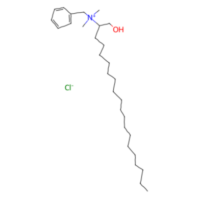 CCCCCCCCCCCCCCCCCCC(CO)[N+](C)(C)Cc1ccccc1.[Cl-]